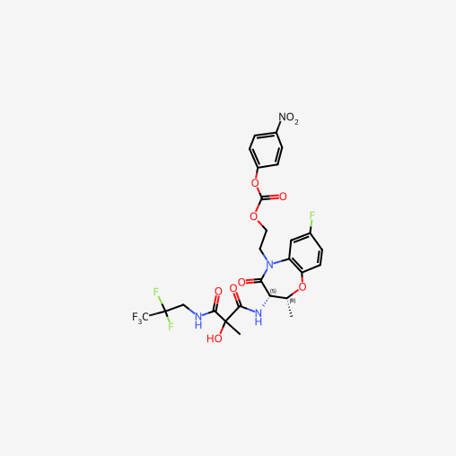 C[C@H]1Oc2ccc(F)cc2N(CCOC(=O)Oc2ccc([N+](=O)[O-])cc2)C(=O)[C@H]1NC(=O)C(C)(O)C(=O)NCC(F)(F)C(F)(F)F